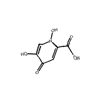 O=C(O)c1cc(=O)c(O)cn1O